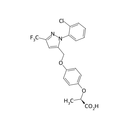 C[C@@H](Oc1ccc(OCc2cc(C(F)(F)F)nn2-c2ccccc2Cl)cc1)C(=O)O